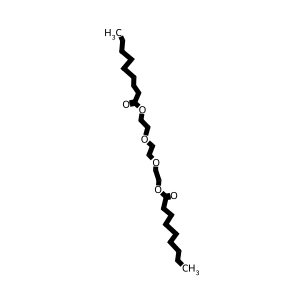 CCCCCCCCC(=O)OCCOCCOCCOC(=O)CCCCCCCC